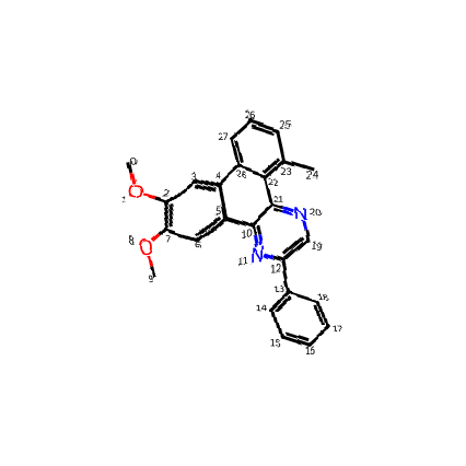 COc1cc2c(cc1OC)c1nc(-c3ccccc3)cnc1c1c(C)cccc21